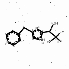 OC(c1nc(Cc2ccncc2)c[nH]1)C(F)(F)F